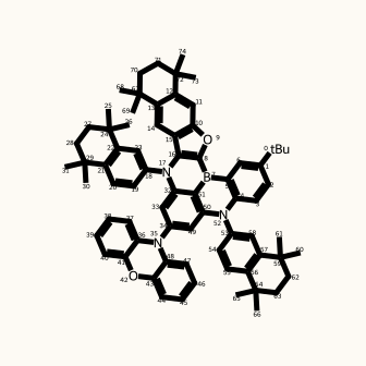 CC(C)(C)c1ccc2c(c1)B1c3oc4cc5c(cc4c3N(c3ccc4c(c3)C(C)(C)CCC4(C)C)c3cc(N4c6ccccc6Oc6ccccc64)cc(c31)N2c1ccc2c(c1)C(C)(C)CCC2(C)C)C(C)(C)CCC5(C)C